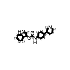 O=C(Nc1ccc(-c2cccnc2)cc1)Oc1c[nH]c2ccccc12